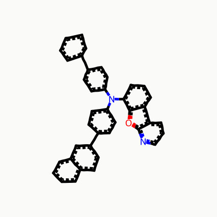 c1ccc(-c2ccc(N(c3ccc(-c4ccc5ccccc5c4)cc3)c3cccc4c3oc3ncccc34)cc2)cc1